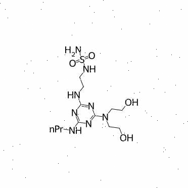 CCCNc1nc(NCCNS(N)(=O)=O)nc(N(CCO)CCO)n1